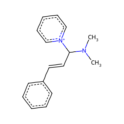 CN(C)C(C=Cc1ccccc1)[n+]1ccccc1